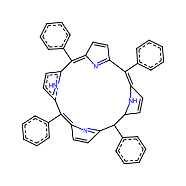 C1=C/C2=C(\c3ccccc3)c3ccc([nH]3)/C(c3ccccc3)=C3/C=CC(=N3)C(c3ccccc3)C3C=C/C(=C(\c4ccccc4)C1=N2)N3